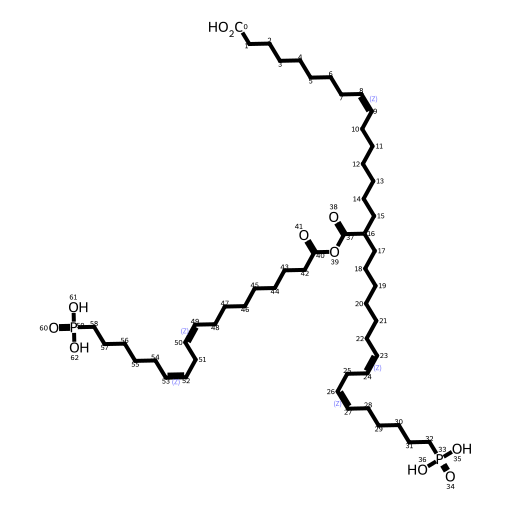 O=C(O)CCCCCCC/C=C\CCCCCCC(CCCCCC/C=C\C/C=C\CCCCCP(=O)(O)O)C(=O)OC(=O)CCCCCCC/C=C\C/C=C\CCCCCP(=O)(O)O